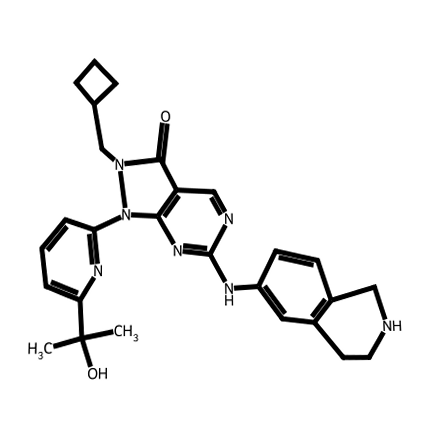 CC(C)(O)c1cccc(-n2c3nc(Nc4ccc5c(c4)CCNC5)ncc3c(=O)n2CC2CCC2)n1